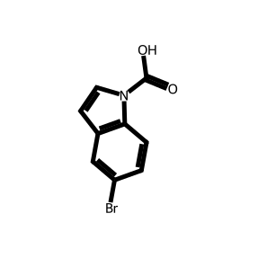 O=C(O)n1ccc2cc(Br)ccc21